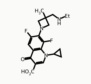 CCNCC1(C)CN(c2c(F)cc3c(=O)c(C(=O)O)cn(C4CC4)c3c2F)C1